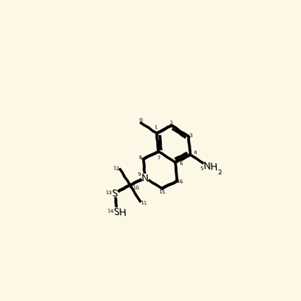 Cc1ccc(N)c2c1CN(C(C)(C)SS)CC2